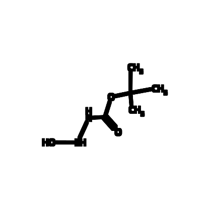 CC(C)(C)OC(=O)NBO